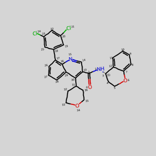 O=C(N[C@H]1CCOc2ccccc21)c1cnc2c(-c3cc(Cl)cc(Cl)c3)cccc2c1C1CCOCC1